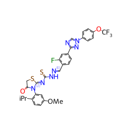 COc1ccc(C(C)C)c(N2C(=O)CS/C2=N\C(=S)N/N=C/c2ccc(-c3ncn(-c4ccc(OC(F)(F)F)cc4)n3)cc2F)c1